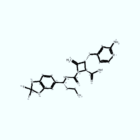 C=C1[C@H](Cc2ccnc(N)c2)[C@@H](C(=O)O)N1C(=O)N[C@H](CCC)c1ccc2c(c1)OC(F)(F)O2